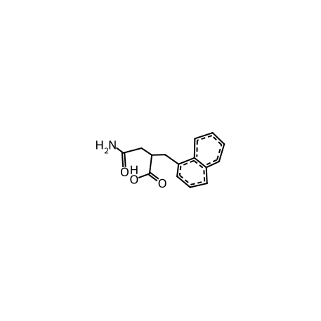 NC(=O)CC(Cc1cccc2ccccc12)C(=O)O